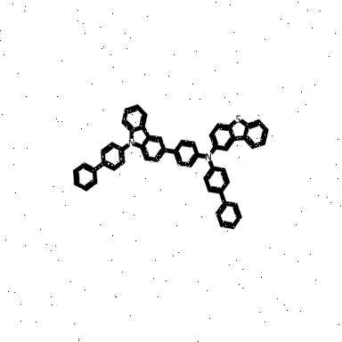 c1ccc(-c2ccc(N(c3ccc(-c4ccc5c(c4)c4ccccc4n5-c4ccc(-c5ccccc5)cc4)cc3)c3ccc4sc5ccccc5c4c3)cc2)cc1